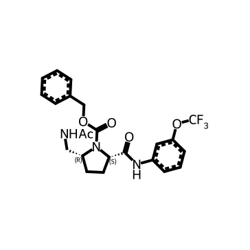 CC(=O)NC[C@H]1CC[C@@H](C(=O)Nc2cccc(OC(F)(F)F)c2)N1C(=O)OCc1ccccc1